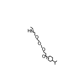 CCNCCOCCOCCOCCC(=O)N1CCC(C(C)C)CC1